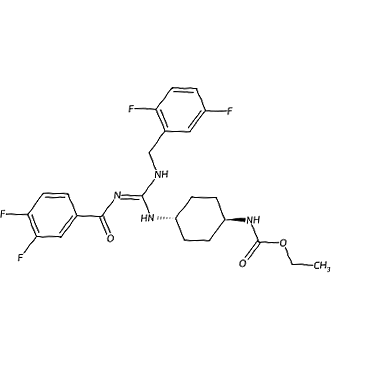 CCOC(=O)N[C@H]1CC[C@H](N/C(=N\C(=O)c2ccc(F)c(F)c2)NCc2cc(F)ccc2F)CC1